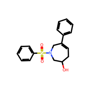 O=S(=O)(c1ccccc1)N1CC(c2ccccc2)=CCC(O)C1